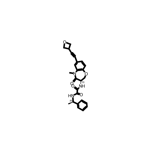 C[C@@H](NC(=O)C(=O)N[C@H]1COc2ccc(C#CC3COC3)cc2N(C)C1=O)c1ccccc1